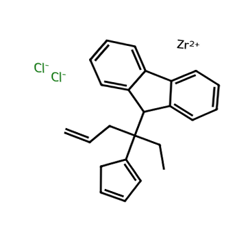 C=CCC(CC)(C1=CC=CC1)C1c2ccccc2-c2ccccc21.[Cl-].[Cl-].[Zr+2]